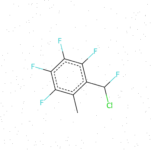 Cc1c(F)c(F)c(F)c(F)c1C(F)Cl